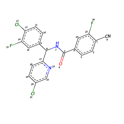 N#Cc1ccc(C(=O)NC(c2ccc(Cl)c(F)c2)c2ccc(Cl)cn2)cc1F